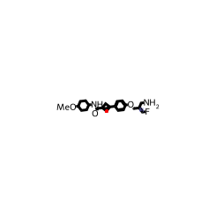 COC1CCC(NC(=O)C23CC(c4ccc(OC/C(=C/F)CN)cc4)(C2)C3)CC1